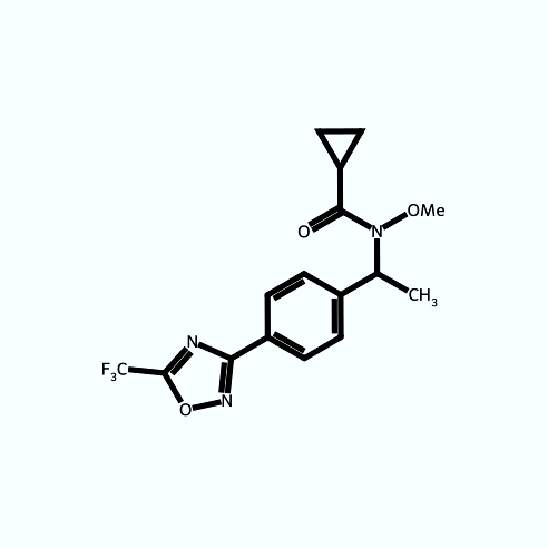 CON(C(=O)C1CC1)C(C)c1ccc(-c2noc(C(F)(F)F)n2)cc1